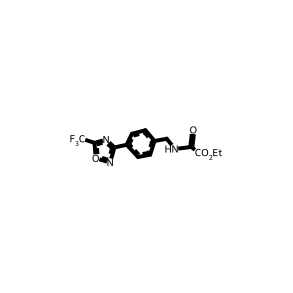 CCOC(=O)C(=O)NCc1ccc(-c2noc(C(F)(F)F)n2)cc1